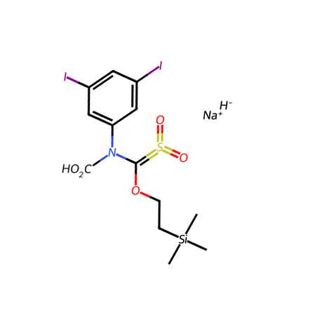 C[Si](C)(C)CCOC(N(C(=O)O)c1cc(I)cc(I)c1)=S(=O)=O.[H-].[Na+]